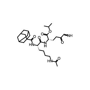 CC(=O)NCCCC[C@H](NC(=O)C12CC3CC(CC(C3)C1)C2)C(=O)N[C@@H](CCC(=O)C=N)C(=O)OC(C)C